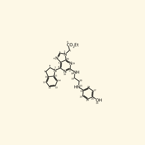 CCOC(=O)Cn1cnc2c(N3CCc4ccccc43)nc(NCCNc3ccc(O)cc3)nc21